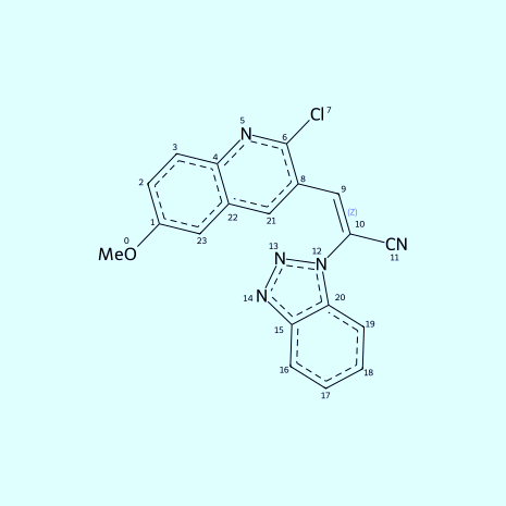 COc1ccc2nc(Cl)c(/C=C(/C#N)n3nnc4ccccc43)cc2c1